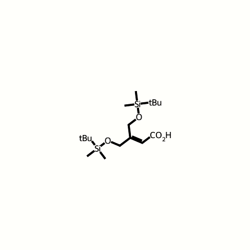 CC(C)(C)[Si](C)(C)OCC(=CC(=O)O)CO[Si](C)(C)C(C)(C)C